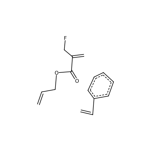 C=CCOC(=O)C(=C)CF.C=Cc1ccccc1